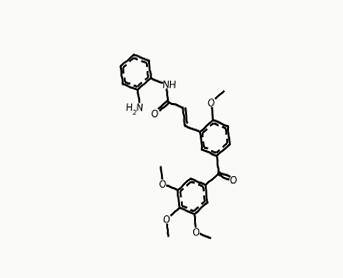 COc1ccc(C(=O)c2cc(OC)c(OC)c(OC)c2)cc1/C=C/C(=O)Nc1ccccc1N